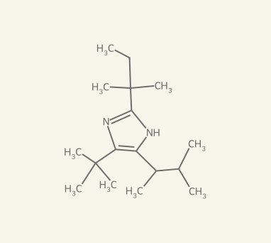 CCC(C)(C)c1nc(C(C)(C)C)c(C(C)C(C)C)[nH]1